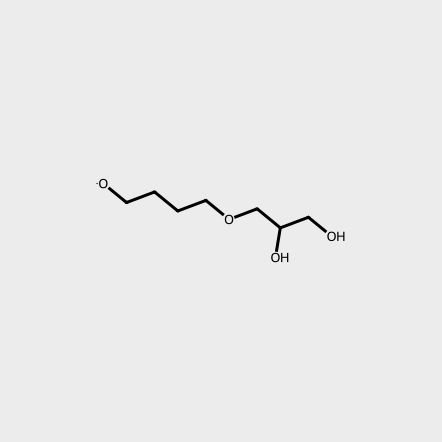 [O]CCCCOCC(O)CO